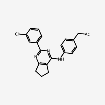 CC(=O)Cc1ccc(Nc2nc(-c3cccc(Cl)c3)nc3c2CCC3)cc1